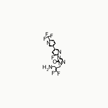 NCC(Cn1ncn(-c2ncc(-c3ccc(C(F)(F)F)nc3)cc2F)c1=O)=C(F)F